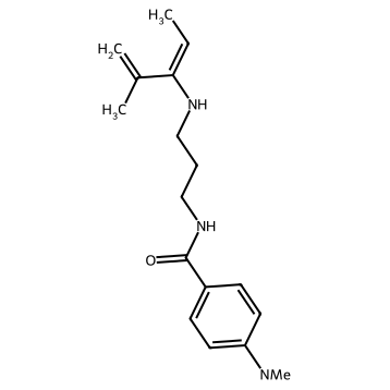 C=C(C)C(=CC)NCCCNC(=O)c1ccc(NC)cc1